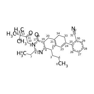 CCCCc1nc(CC)n(CC(=O)C(C)(C)C)c(=O)c1CC1=CC=C(c2ccccc2C#N)CC1